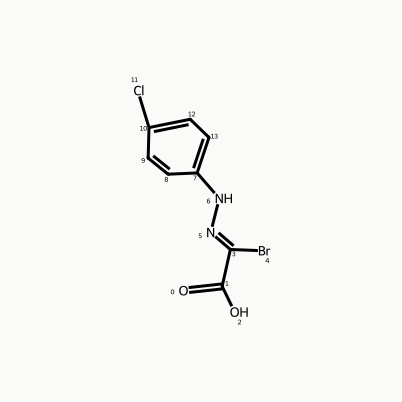 O=C(O)C(Br)=NNc1ccc(Cl)cc1